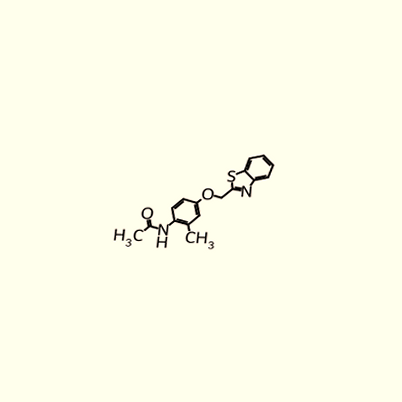 CC(=O)Nc1ccc(OCc2nc3ccccc3s2)cc1C